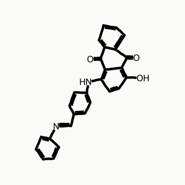 O=C1c2ccccc2C(=O)c2c(Nc3ccc(/C=N/c4ccccc4)cc3)ccc(O)c21